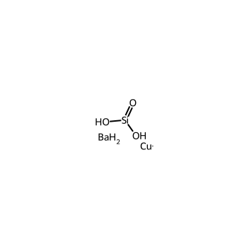 O=[Si](O)O.[BaH2].[Cu]